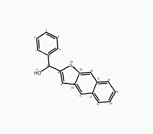 OC(c1ccccc1)c1cc2cc3ccccc3cc2s1